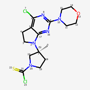 C[C@]1(N2CCc3c(Cl)nc(N4CCOCC4)nc32)CCN(C(=S)Cl)C1